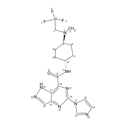 CN(CC(F)(F)F)[C@H]1CC[C@H](NC(=O)c2nc(-n3ccnc3)nc3cn[nH]c23)CC1